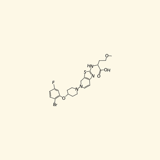 COCCC(Nc1nc2c(s1)CN(N1CCC(Oc3cc(F)ccc3Br)CC1)C=C2)C(=O)O